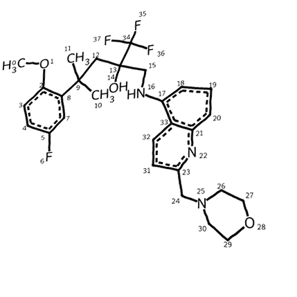 COc1ccc(F)cc1C(C)(C)CC(O)(CNc1cccc2nc(CN3CCOCC3)ccc12)C(F)(F)F